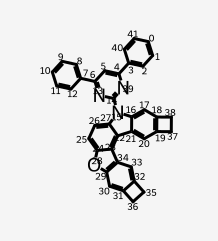 c1ccc(-c2cc(-c3ccccc3)nc(-n3c4cc5c(cc4c4c6c(ccc43)oc3cc4c(cc36)CC4)CC5)n2)cc1